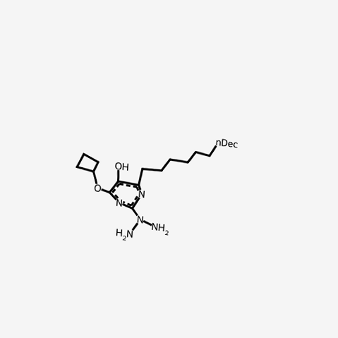 CCCCCCCCCCCCCCCCc1nc(N(N)N)nc(OC2CCC2)c1O